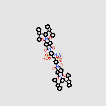 NOS(=O)(=O)c1cc(N2C(=O)c3ccc4c5c(ccc(c35)C2=O)C(=O)N(c2cc(C3C(c5ccccc5)=Cc5ccccc53)cc(C3C(c5ccccc5)=Cc5ccccc53)c2)C4=O)ccc1/C=C/c1ccc(N2C(=O)c3ccc4c5c(ccc(c35)C2=O)C(=O)N(c2cc(C3C(c5ccccc5)=Cc5ccccc53)cc(C3C(c5ccccc5)=Cc5ccccc53)c2)C4=O)cc1S(=O)(=O)O